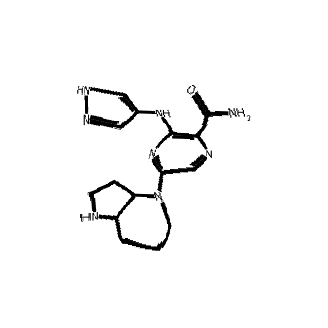 NC(=O)c1ncc(N2CCCC3NCCC32)nc1Nc1cn[nH]c1